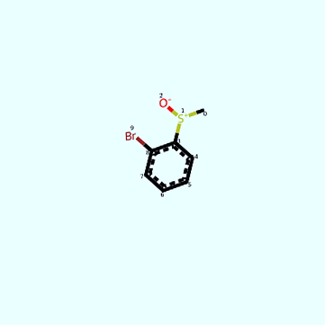 C[S+]([O-])c1[c]cccc1Br